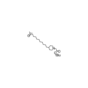 C[S+]([O-])CCCCCCCCCCC1CCN(CC(=O)OC(C)(C)C)CC1